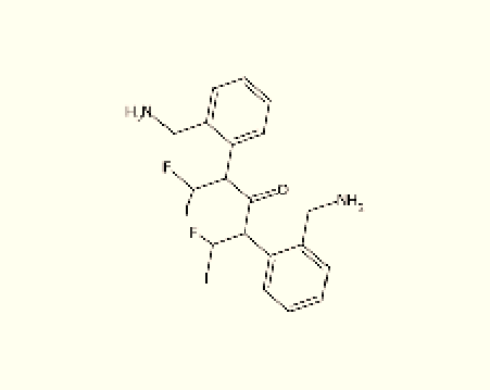 NCc1ccccc1C(C(=O)C(c1ccccc1CN)C(F)I)C(F)I